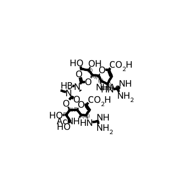 CC(=O)N[C@H]1[C@H]([C@H](OC(=O)N(C)BN(C)C(=O)O[C@@H]([C@@H]2OC(C(=O)O)=C[C@H](NC(=N)N)[C@H]2NC(C)=O)[C@H](O)CO)[C@H](O)CO)OC(C(=O)O)=C[C@@H]1NC(=N)N